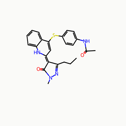 CCCC1=NN(C)C(=O)/C1=C1/C=C(Sc2ccc(NC(C)=O)cc2)c2ccccc2N1